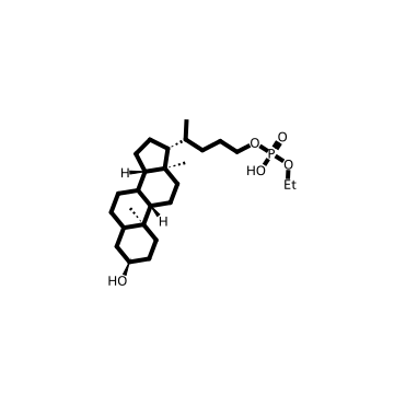 CCOP(=O)(O)OCCCC(C)[C@H]1CC[C@H]2C3CCC4C[C@H](O)CC[C@]4(C)[C@H]3CC[C@]12C